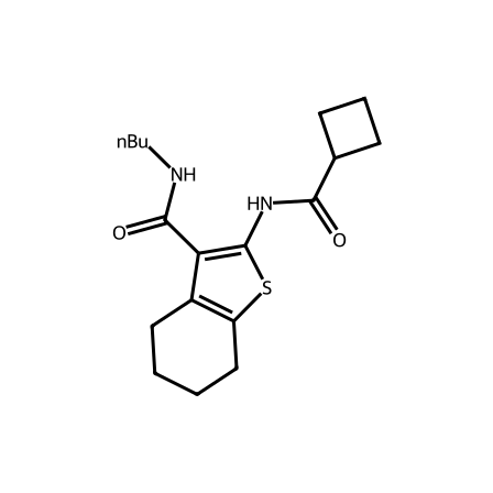 CCCCNC(=O)c1c(NC(=O)C2CCC2)sc2c1CCCC2